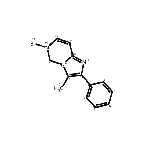 CC1=C(c2ccccc2)N=C2C=CN(Br)C[N+]21